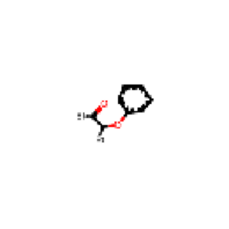 CCC(=O)C(CC)Oc1ccccc1